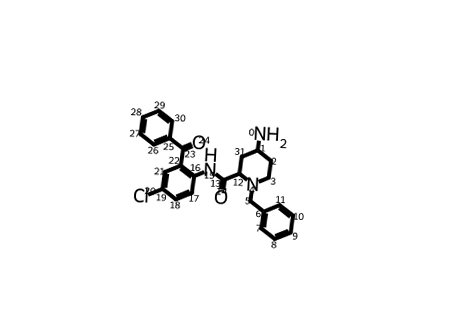 NC1CCN(Cc2ccccc2)C(C(=O)Nc2ccc(Cl)cc2C(=O)c2ccccc2)C1